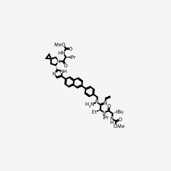 C=C/N=C(/[C@H](CC)N(C(=O)[C@@H](NC(=O)OC)C(C)(C)C)C(C)C)N(N)Cc1ccc(-c2ccc3cc(-c4cnc([C@@H]5CC6(CC6)CN5C(=O)[C@@H](NC(=O)OC)C(C)C)[nH]4)ccc3c2)cc1